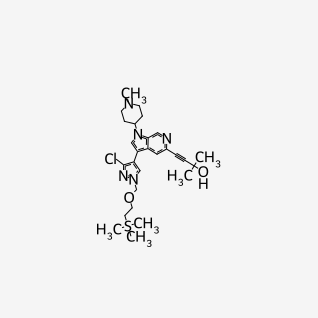 CN1CCC(n2cc(-c3cn(COCCS(C)(C)C)nc3Cl)c3cc(C#CC(C)(C)O)ncc32)CC1